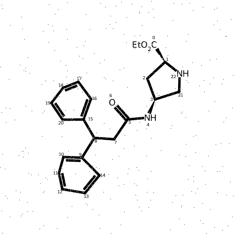 CCOC(=O)[C@@H]1C[C@H](NC(=O)CC(c2ccccc2)c2ccccc2)CN1